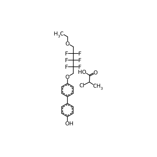 CC(Cl)C(=O)O.CCOCC(F)(F)C(F)(F)C(F)(F)COc1ccc(-c2ccc(O)cc2)cc1